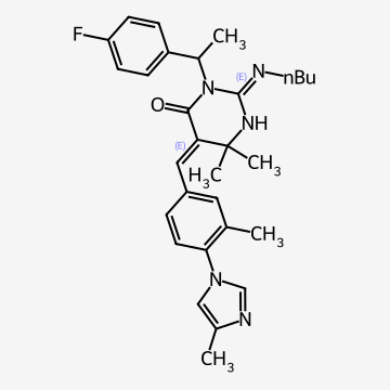 CCCC/N=C1\NC(C)(C)/C(=C\c2ccc(-n3cnc(C)c3)c(C)c2)C(=O)N1C(C)c1ccc(F)cc1